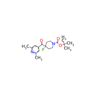 Cc1cc(C(=O)C2(F)CCN(C(=O)OC(C)(C)C)CC2)cc(C)n1